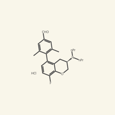 CCCN(CCC)[C@H]1COc2c(F)ccc(-c3c(C)cc(C=O)cc3C)c2C1.Cl